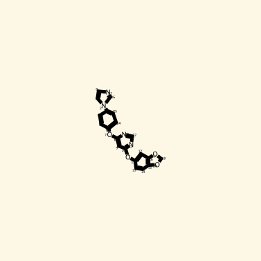 c1cn(-c2ccc(Oc3cc(Oc4ccc5c(c4)OCO5)ncn3)cc2)cn1